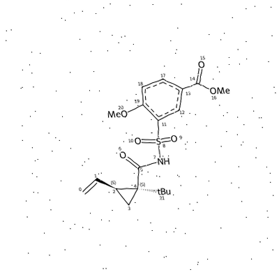 C=C[C@@H]1C[C@@]1(C(=O)NS(=O)(=O)c1cc(C(=O)OC)ccc1OC)C(C)(C)C